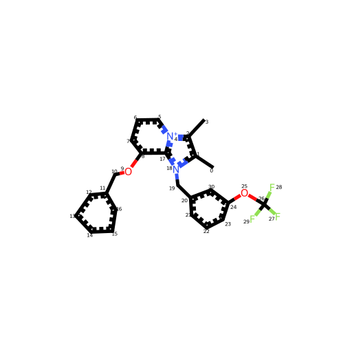 Cc1c(C)[n+]2cccc(OCc3ccccc3)c2n1Cc1cccc(OC(F)(F)F)c1